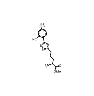 COC(=O)[C@@H](N)CCCn1cc(-c2ccc(N)cc2C#N)nn1